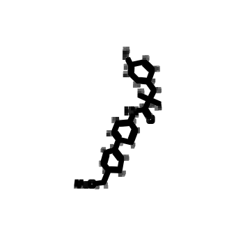 COCc1ccc(-c2ccc(NC(=O)C(C)(C)Cc3ccc(F)cc3)cc2)cc1